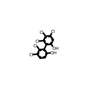 Oc1ccc(Cl)c(Cl)c1-c1c(O)cc(Cl)c(Cl)c1Cl